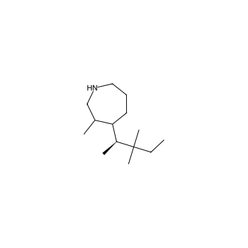 CCC(C)(C)[C@@H](C)C1CCCNCC1C